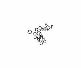 C[C@@H]1C(=O)C(=O)[C@H](C)N2CN1n1cc(C(=O)NCc3ccc(F)cc3F)c(=O)c(OCc3ccccc3)c1C2=O